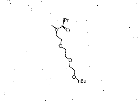 CCCCOCCOCCOCCN(C)C(=O)C(C)C